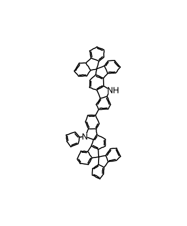 C1=CC2c3ccccc3C3(c4ccccc4-c4c3ccc3c4[nH]c4ccc(-c5ccc6c(c5)c5ccc7c(c5n6-c5ccccc5)-c5ccccc5C75c6ccccc6-c6ccccc65)cc43)C2C=C1